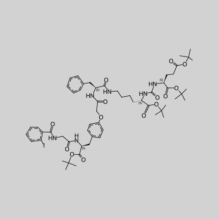 CC(C)(C)OC(=O)CC[C@H](NC(=O)N[C@@H](CCCCNC(=O)[C@H](Cc1ccccc1)NC(=O)COc1ccc(C[C@H](NC(=O)CNC(=O)c2ccccc2I)C(=O)OC(C)(C)C)cc1)C(=O)OC(C)(C)C)C(=O)OC(C)(C)C